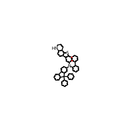 C1=Cc2c(ccc3c2sc2ccc(N(c4ccc5c(c4)C(c4ccccc4)(c4ccccc4)c4ccccc4-5)c4ccccc4-c4ccccc4)cc23)NC1